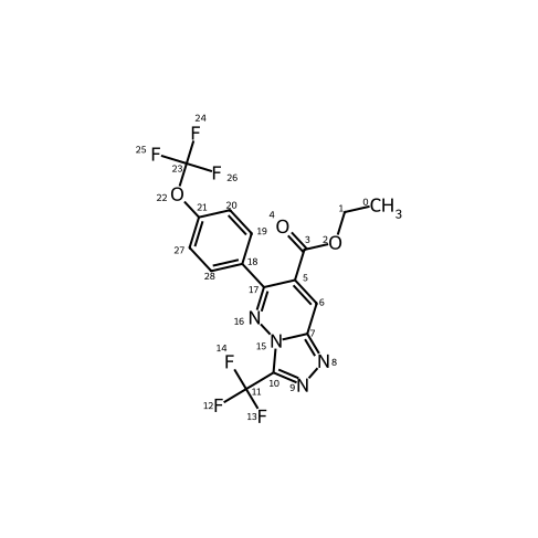 CCOC(=O)c1cc2nnc(C(F)(F)F)n2nc1-c1ccc(OC(F)(F)F)cc1